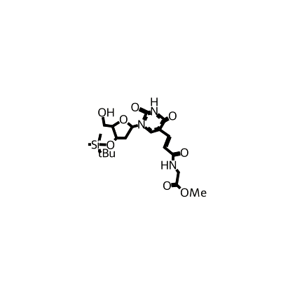 COC(=O)CNC(=O)/C=C/c1cn(C2CC(O[Si](C)(C)C(C)(C)C)C(CO)O2)c(=O)[nH]c1=O